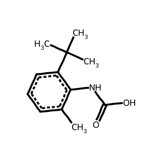 Cc1cccc(C(C)(C)C)c1NC(=O)O